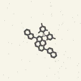 Cc1cc(C)c(B(c2c(C)cc(C)cc2C)c2cc(-c3ccc4ccccc4c3)c3ccc4ccc(-c5ccc6ccccc6c5)c5ccc2c3c45)c(C)c1